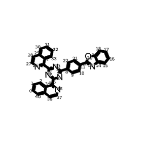 c1ccc2c(-c3nc(-c4ccc(-c5nc6ccccc6o5)cc4)nc(-c4nccc5ccccc45)n3)nccc2c1